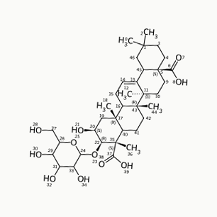 CC1(C)CC[C@]2(C(=O)O)CC[C@]3(C)C(=CCC4[C@@]5(C)C[C@H](O)[C@H](OC6OC(CO)C(O)C(O)C6O)[C@@](C)(C(=O)O)C5CC[C@]43C)C2C1